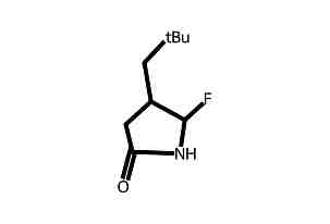 CC(C)(C)CC1CC(=O)NC1F